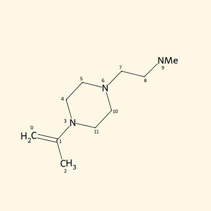 C=C(C)N1CCN(CCNC)CC1